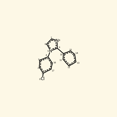 Clc1ccc(-n2ccnc2-c2ccccc2)cc1